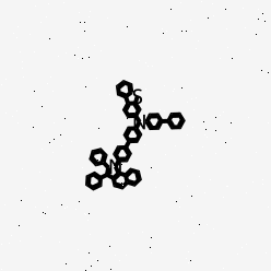 c1ccc(-c2ccc(N(c3ccc(-c4ccc(-n5c(-c6ccccc6)c(-c6ccccc6)c6ccc7ccccc7c65)cc4)cc3)c3ccc4c(c3)sc3ccccc34)cc2)cc1